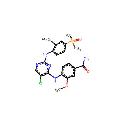 COc1cc(P(C)(C)=O)ccc1Nc1ncc(Cl)c(Nc2ccc(C(N)=O)cc2OC(F)(F)F)n1